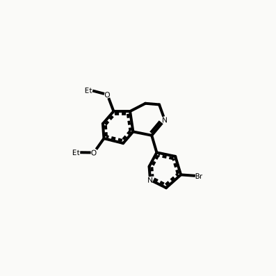 CCOc1cc(OCC)c2c(c1)C(c1cncc(Br)c1)=NCC2